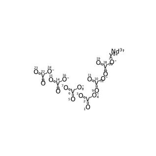 [Nd+3].[O]=[V](=[O])[O-].[O]=[V](=[O])[O-].[O]=[V](=[O])[O-].[O]=[V](=[O])[O-].[O]=[V](=[O])[O-].[O]=[V](=[O])[O-].[Y+3]